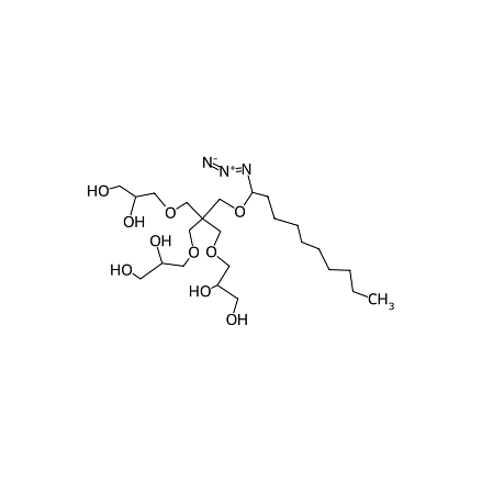 CCCCCCCCCC(N=[N+]=[N-])OCC(COCC(O)CO)(COCC(O)CO)COCC(O)CO